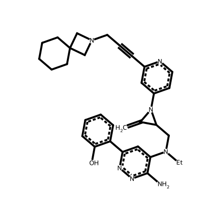 C=C1C(CN(CC)c2cc(-c3ccccc3O)nnc2N)N1c1ccnc(C#CCN2CC3(CCCCC3)C2)c1